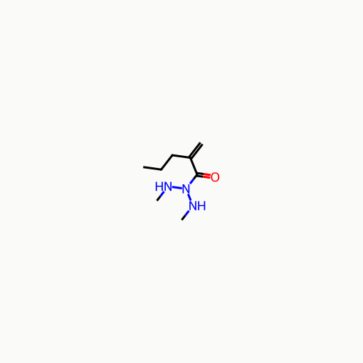 C=C(CCC)C(=O)N(NC)NC